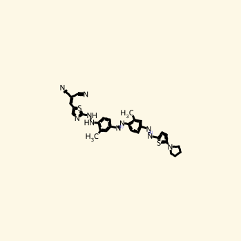 Cc1cc(/N=N/c2ccc(N3CCCC3)s2)ccc1/N=N/c1ccc(NNc2ncc(C=C(C#N)C#N)s2)c(C)c1